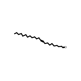 CCCCCCCCCCCCC#CCCCCCCCCC=O